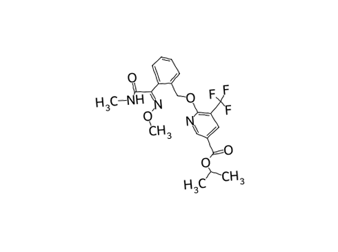 CNC(=O)C(=NOC)c1ccccc1COc1ncc(C(=O)OC(C)C)cc1C(F)(F)F